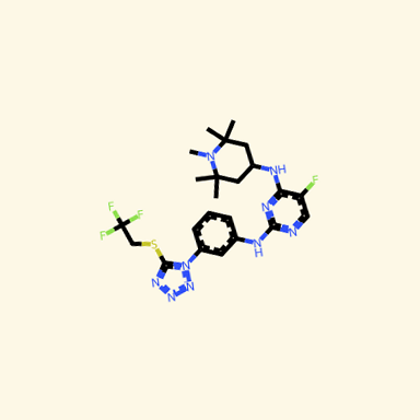 CN1C(C)(C)CC(Nc2nc(Nc3cccc(-n4nnnc4SCC(F)(F)F)c3)ncc2F)CC1(C)C